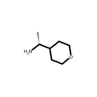 C[C@@H](N)C1CCOCC1